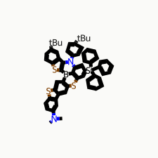 CN(C)c1ccc2sc3cc4c(cc3c2c1)Sc1cc([Si](c2ccccc2)(c2ccccc2)c2ccccc2)cc2c1B4c1sc3ccc(C(C)(C)C)cc3c1N2c1ccc(C(C)(C)C)cc1